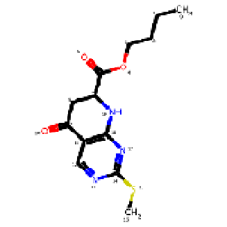 CCCCOC(=O)C1CC(=O)c2cnc(SC)nc2N1